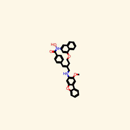 COc1cc2c(cc1NCC(=Cc1ccc(C(=O)NO)cc1)CCOc1cccc3ccccc13)oc1ccccc12